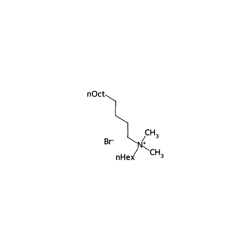 CCCCCCCCCCCC[N+](C)(C)CCCCCC.[Br-]